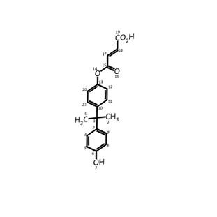 CC(C)(c1ccc(O)cc1)c1ccc(OC(=O)/C=C/C(=O)O)cc1